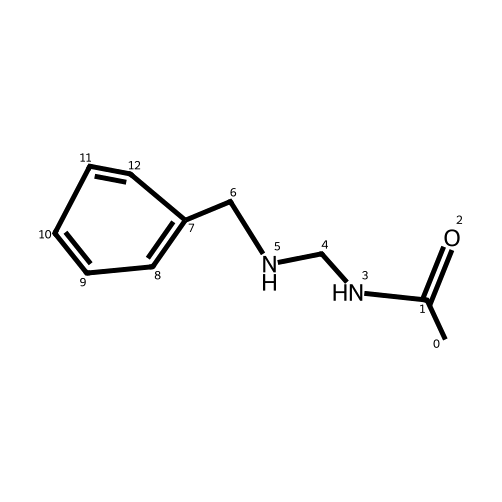 CC(=O)NCNCc1ccccc1